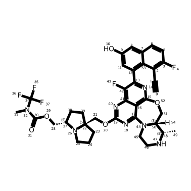 C#Cc1c(F)ccc2cc(O)cc(-c3nc4c5c(nc(OC[C@@]67CCCN6[C@H](COC(=O)N(C)C(F)(F)F)CC7)nc5c3F)N3CCN[C@@H](C)[C@H]3CO4)c12